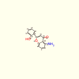 Nc1cccc2oc(-c3ccccc3O)cc(=O)c12